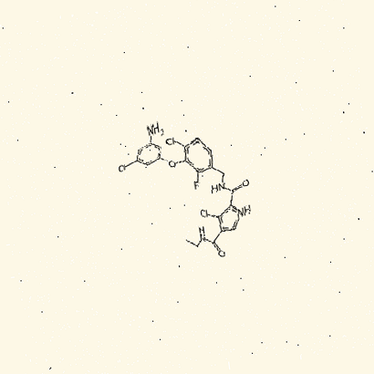 CCNC(=O)c1c[nH]c(C(=O)NCc2ccc(Cl)c(Oc3cc(N)cc(Cl)c3)c2F)c1Cl